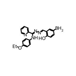 Bc1ccc(O)c(/C=N/N=C(\Nc2ccc(OCC)cc2)c2ccccn2)c1